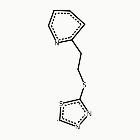 [c]1nnc(SCCc2ccccn2)s1